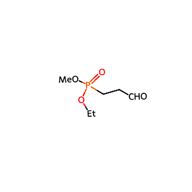 CCOP(=O)(CCC=O)OC